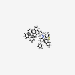 c1ccc(-c2ccc(N(c3ccc(-c4ccccc4-c4cccc5c4-c4ccccc4C54c5ccccc5-c5ccccc54)cc3)c3cccc4sc5c6ccccc6ccc5c34)cc2)cc1